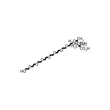 C=C(C)C(=O)O.C=C(C)C(=O)O.OCCOCCOCCOCCOCCOCCOCCOCCO